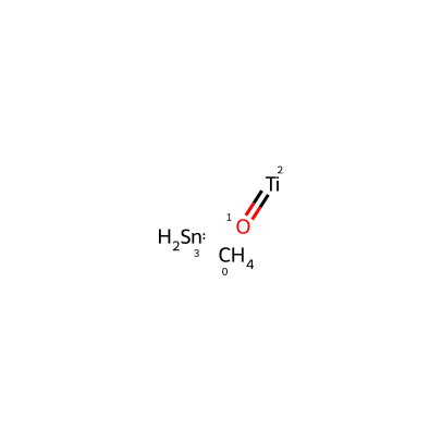 C.[O]=[Ti].[SnH2]